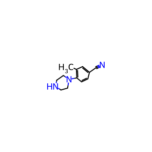 Cc1cc(C#N)ccc1N1CCNCC1